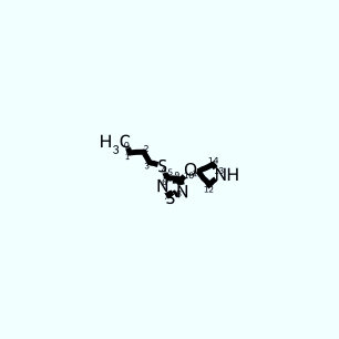 CCCCSc1nsnc1OC1CNC1